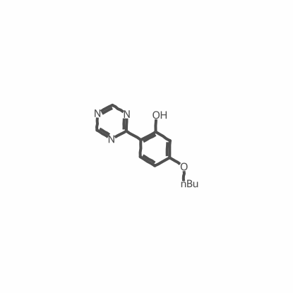 CCCCOc1ccc(-c2ncncn2)c(O)c1